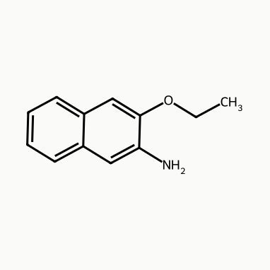 CCOc1cc2ccccc2cc1N